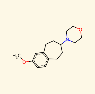 COc1ccc2c(c1)CCC(N1CCOCC1)CC2